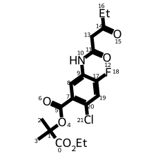 CCOC(=O)C(C)(C)OC(=O)c1cc(NC(=O)CC(=O)CC)c(F)cc1Cl